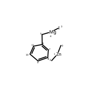 [CH3][Zn][CH3].[I][Mg][CH2]c1ccccc1